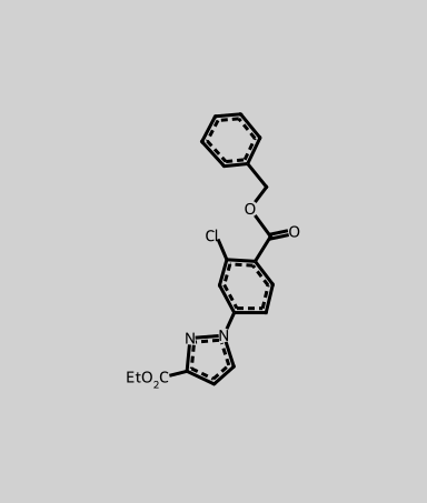 CCOC(=O)c1ccn(-c2ccc(C(=O)OCc3ccccc3)c(Cl)c2)n1